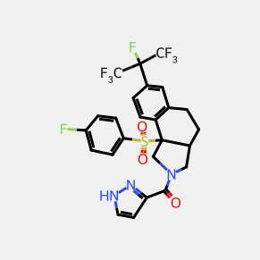 O=C(c1cc[nH]n1)N1CC2CCc3cc(C(F)(C(F)(F)F)C(F)(F)F)ccc3C2(S(=O)(=O)c2ccc(F)cc2)C1